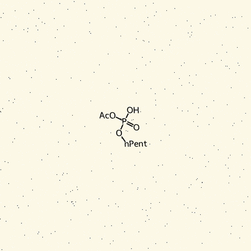 CCCCCOP(=O)(O)OC(C)=O